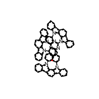 c1ccc(-n2c3ccccc3c3ccc4c5ccccc5n(-c5ccc(-c6nc(-n7c8ccccc8c8ccc9c%10ccccc%10n(-c%10ccccc%10)c9c87)nc(-n7c8ccccc8c8ccc9c%10ccccc%10n(-c%10ccccc%10)c9c87)n6)cc5)c4c32)cc1